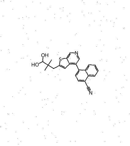 CC(C)(Cc1cc2c(-c3ccc(C#N)c4ccccc34)cncc2s1)C(O)O